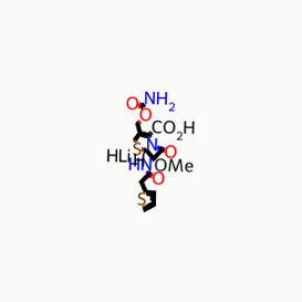 CO[C@@]1(NC(=O)Cc2cccs2)C(=O)N2C(C(=O)O)=C(COC(N)=O)CS[C@@H]21.[LiH]